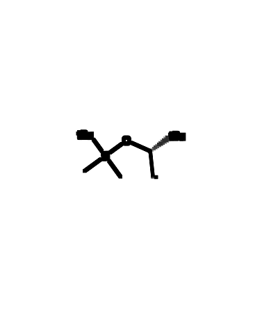 [CH2][C@H](O[Si](C)(C)C(C)(C)C)C(C)(C)C